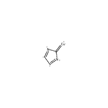 [Cu-]=[C]1N=CC=N1